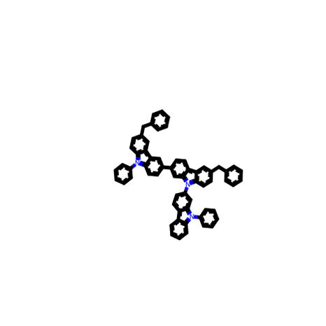 c1ccc(Cc2ccc3c(c2)c2cc(-c4ccc5c6cc(Cc7ccccc7)ccc6n(-c6ccc7c8ccccc8n(-c8ccccc8)c7c6)c5c4)ccc2n3-c2ccccc2)cc1